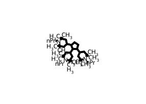 CCCN1C(C)(C)CC(C2CCC(C3CC(C)(C)N(CCC)C(C)(C)C3)C2C2CC(C)(C)N(CCC)C(C)(C)C2)CC1(C)C